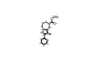 CC(C)(C)OC(=O)N1CCCn2nc(-c3ccccn3)c(F)c2C1